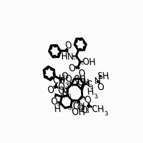 CC(=O)O[C@H]1C(=O)[C@@]2(C)[C@H]([C@H](OC(=O)c3ccccc3)[C@]3(O)C[C@H](OC(=O)[C@H](O)[C@@H](NC(=O)c4ccccc4)c4ccccc4)C(C)=C1C3(C)C)[C@]1(OC(C)=O)CO[C@@H]1C[C@@H]2O.O=NS